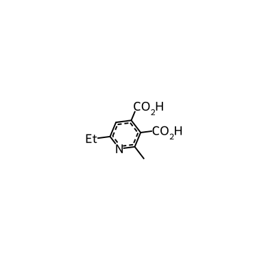 CCc1cc(C(=O)O)c(C(=O)O)c(C)n1